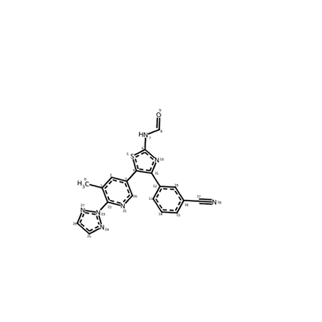 Cc1cc(-c2sc(NC=O)nc2-c2cccc(C#N)c2)cnc1-n1nccn1